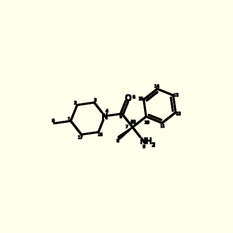 CC1CCN(C(=O)[C@@](C)(N)c2ccccc2)CC1